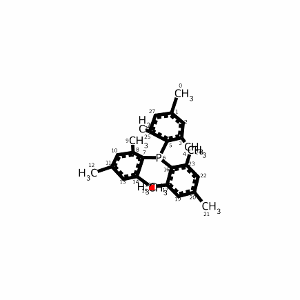 Cc1cc(C)c(P(c2c(C)cc(C)cc2C)c2c(C)cc(C)cc2C)c(C)c1